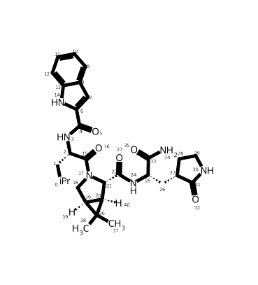 CC(C)C[C@H](NC(=O)c1cc2ccccc2[nH]1)C(=O)N1C[C@H]2[C@@H]([C@H]1C(=O)N[C@@H](C[C@@H]1CCNC1=O)C(N)=O)C2(C)C